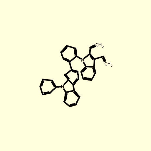 C=Cc1c(C=C)n(-c2ccccc2-c2ccc3c4ccccc4n(-c4ccccc4)c3c2)c2ccccc12